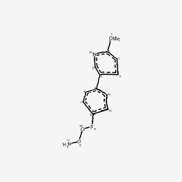 COc1ccc(-c2ccc(SOON)cc2)cn1